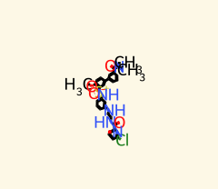 COc1ccc(-c2cccc(C(=O)N(C)C)c2)cc1[S+]([O-])Nc1cccc(NCCNC(=O)c2cccc(Cl)n2)c1